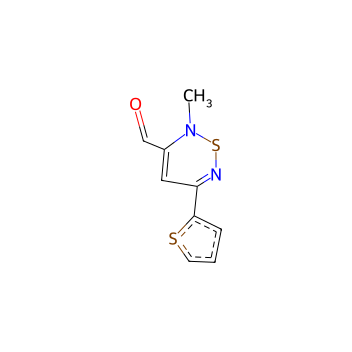 CN1SN=C(c2cccs2)C=C1C=O